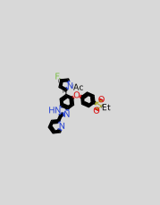 CCS(=O)(=O)c1ccc(Oc2cc3nc(-c4ccccn4)[nH]c3cc2[C@@H]2C[C@H](F)CN2C(C)=O)cc1